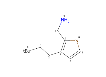 CC(C)(C)CCc1ccsc1CN